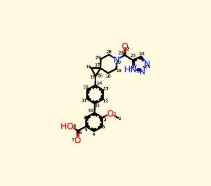 COc1ccc(C(=O)O)cc1-c1ccc([C@H]2CC23CCN(C(=O)c2cnn[nH]2)CC3)cc1